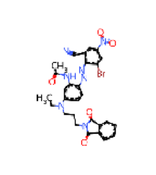 CCN(CCCN1C(=O)c2ccccc2C1=O)c1ccc(/N=N/c2c(Br)cc([N+](=O)[O-])cc2C#N)c(NC(C)=O)c1